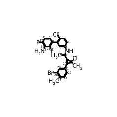 C=C(Nc1ccc(Cl)c(-c2ccc(F)c(N)c2F)c1)C1C(c2ccc(C)c(Br)c2)C1(C)Cl